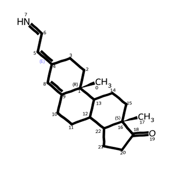 C[C@]12CC/C(=C\C=N)C=C1CCC1C2CC[C@]2(C)C(=O)CCC12